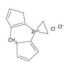 CC1=[C]([Zr+2]2([C]3=CC=CC3)[CH2][CH2]2)CC=C1.[Cl-].[Cl-]